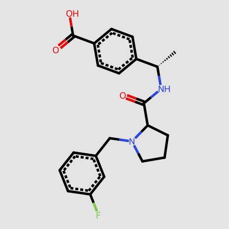 C[C@H](NC(=O)C1CCCN1Cc1cccc(F)c1)c1ccc(C(=O)O)cc1